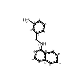 Nc1cccc(CNc2nccc3ccccc23)c1